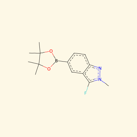 Cn1nc2ccc(B3OC(C)(C)C(C)(C)O3)cc2c1F